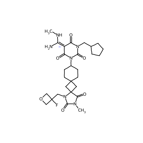 CN/C(N)=C1\C(=O)N(CC2CCCC2)C(=O)N(C2CCC3(CC2)CC2(C3)C(=O)N(C)C(=O)N2CC2(F)COC2)C1=O